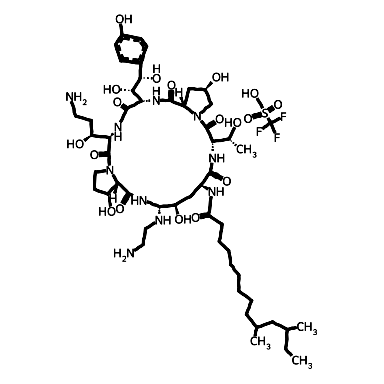 CCC(C)CC(C)CCCCCCCCC(=O)N[C@H]1C[C@@H](O)[C@H](NCCN)NC(=O)[C@@H]2[C@@H](O)CCN2C(=O)[C@H]([C@@H](O)CCN)NC(=O)[C@H]([C@H](O)[C@@H](O)c2ccc(O)cc2)NC(=O)[C@@H]2C[C@@H](O)CN2C(=O)[C@H]([C@@H](C)O)NC1=O.O=S(=O)(O)C(F)(F)F